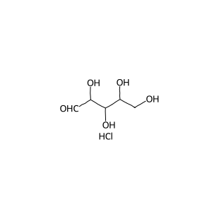 Cl.O=CC(O)C(O)C(O)CO